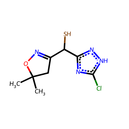 CC1(C)CC(C(S)c2n[nH]c(Cl)n2)=NO1